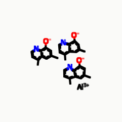 Cc1cc([O-])c2nccc(C)c2c1.Cc1cc([O-])c2nccc(C)c2c1.Cc1cc([O-])c2nccc(C)c2c1.[Al+3]